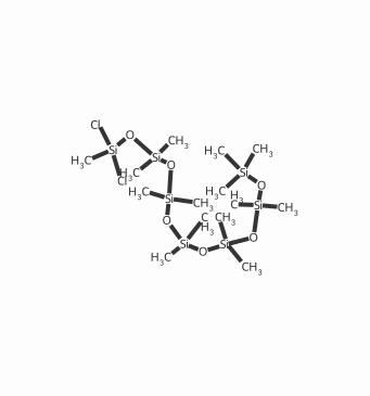 C[Si](C)(C)O[Si](C)(C)O[Si](C)(C)O[Si](C)(C)O[Si](C)(C)O[Si](C)(C)O[Si](C)(Cl)Cl